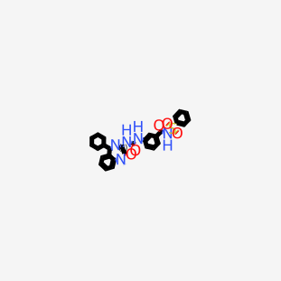 CN1C(=O)[C@@H](NC(=O)Nc2cccc(C(=O)NS(=O)(=O)c3ccccc3)c2)N=C(C2CCCCC2)c2ccccc21